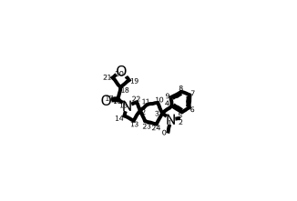 CN(C)C1(c2ccccc2)CCC2(CCN(C(=O)C3COC3)C2)CC1